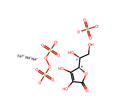 O=C1O[C@H]([C@@H](O)CO)C(O)=C1O.O=S(=O)([O-])OOS(=O)(=O)[O-].O=S(=O)([O-])[O-].[Fe+2].[Na+].[Na+]